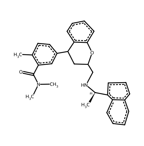 Cc1ccc(C2CC(CN[C@H](C)c3cccc4ccccc34)Oc3ccccc32)cc1C(=O)N(C)C